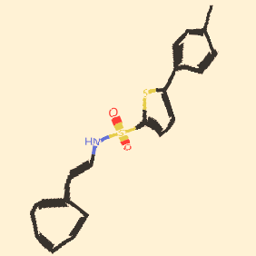 Cc1ccc(-c2ccc(S(=O)(=O)NC=Cc3ccccc3)s2)cc1